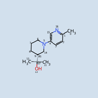 Cc1ccc(N2CCC[C@@H](C(C)(C)O)C2)cn1